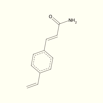 C=Cc1ccc(C=CC(N)=O)cc1